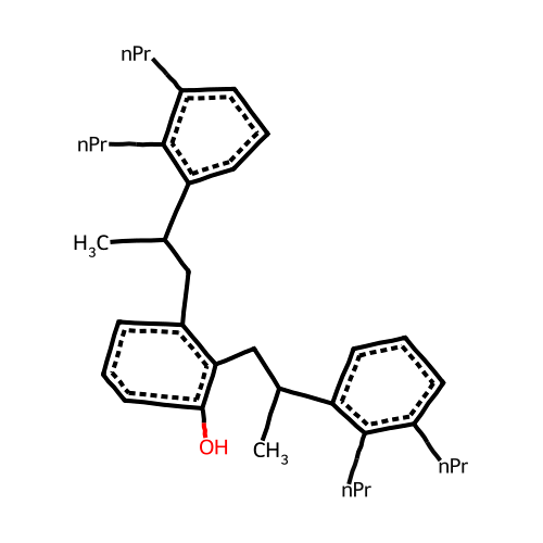 CCCc1cccc(C(C)Cc2cccc(O)c2CC(C)c2cccc(CCC)c2CCC)c1CCC